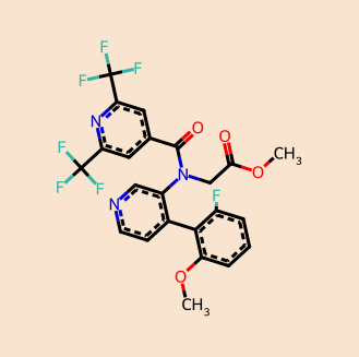 COC(=O)CN(C(=O)c1cc(C(F)(F)F)nc(C(F)(F)F)c1)c1cnccc1-c1c(F)cccc1OC